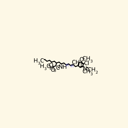 C=CN(C)c1cc(C/C(C)=C/C=C/CC(CC(CC=O)CC(CCCC)OC)NC)cc(OC)c1Cl